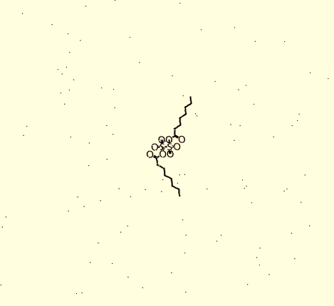 CCCCCCCC(=O)OS(=O)(=O)S(=O)(=O)OC(=O)CCCCCCC